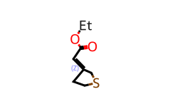 CCOC(=O)/C=C1/CCSC1